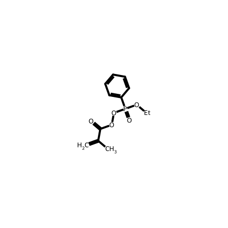 C=C(C)C(=O)OOP(=O)(OCC)c1ccccc1